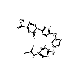 O=C(O)c1ccn(-c2ccc(N[C@H]3CC[C@H](Nc4ncc(OC(F)F)cn4)C3)nc2)c(=O)c1